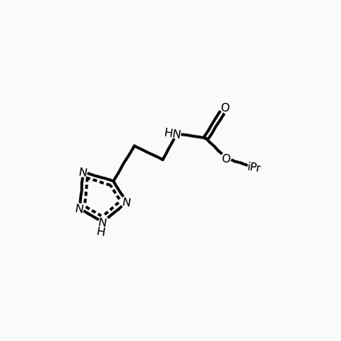 CC(C)OC(=O)NCCc1nn[nH]n1